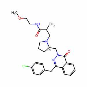 COCCNC(=O)C(C)CN1CCC[C@@H]1Cn1nc(Cc2ccc(Cl)cc2)c2ccccc2c1=O